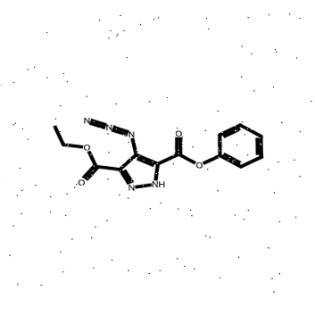 CCOC(=O)c1n[nH]c(C(=O)Oc2ccccc2)c1N=[N+]=[N-]